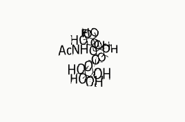 CC(=O)N[C@H]1[C@H](O[C@@H]2[C@@H](OC[C@H]3O[C@@H](O)[C@H](O)[C@@H](O)[C@@H]3O)O[C@H](C)[C@@H](O)[C@@H]2O)O[C@H](CO)[C@@H](OF)[C@@H]1O